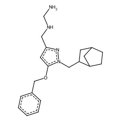 NCNCc1cc(OCc2ccccc2)n(CC2CC3CCC2C3)n1